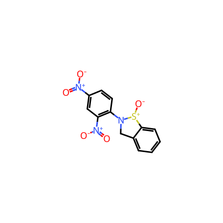 O=[N+]([O-])c1ccc(N2Cc3ccccc3[S+]2[O-])c([N+](=O)[O-])c1